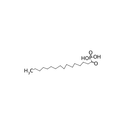 CCCCCCCCCCCCCCCC(=O)P(=O)(O)O